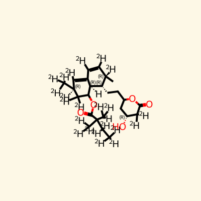 [2H]C1=C([2H])[C@]([2H])(C)[C@H](CCC2C[C@@H](O)C([2H])([2H])C(=O)O2)[C@@H]2C1=C([2H])[C@]([2H])(C([2H])([2H])[2H])C([2H])([2H])C2OC(=O)C(C([2H])([2H])[2H])(C([2H])([2H])[2H])C([2H])([2H])C([2H])([2H])[2H]